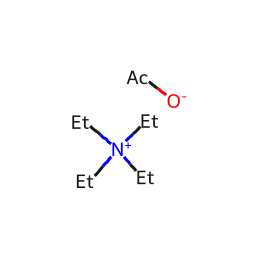 CC(=O)[O-].CC[N+](CC)(CC)CC